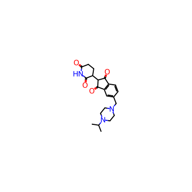 CC(C)N1CCN(Cc2ccc3c(c2)C(=O)C(C2CCC(=O)NC2=O)C3=O)CC1